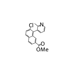 COC(=O)c1ccc2ccc(Cl)c(-c3cccnc3C)c2c1